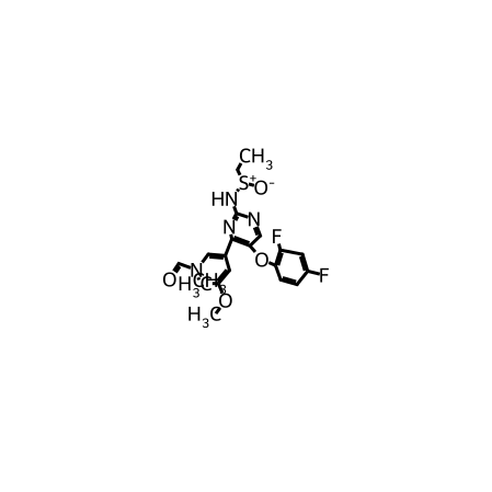 CC[S+]([O-])Nc1ncc(Oc2ccc(F)cc2F)c(C(/C=C(\C)OC)=C/N(C)C=O)n1